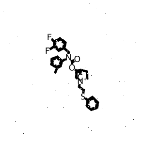 Cc1cccc(N(Cc2ccc(F)c(F)c2)C(=O)OC2C[N+]3(CCSc4ccccc4)CCC2CC3)c1